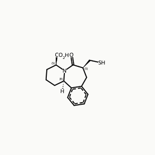 O=C(O)[C@@H]1CCC[C@@H]2c3ccccc3C[C@H](CS)C(=O)N21